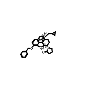 O=C1CCCN1[C@@H]1CCC2(O)[C@H]3Cc4ccc(OCc5ccccc5)c5c4[C@@]2(CCN3CC2CC2)[C@H]1O5